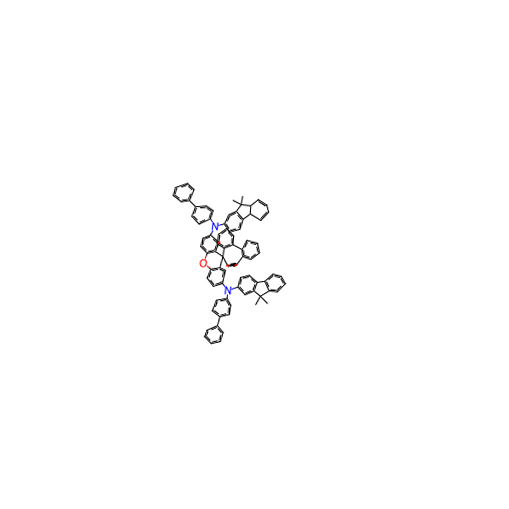 CC1(C)c2ccccc2-c2ccc(N(c3ccc(-c4ccccc4)cc3)c3ccc4c(c3)C3(c5cc(N(c6ccc(-c7ccccc7)cc6)c6ccc7c(c6)C(C)(C)C6C=CC=CC76)ccc5O4)c4ccccc4-c4ccccc4-c4ccccc43)cc21